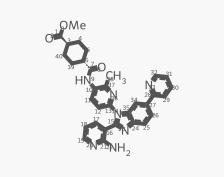 COC(=O)[C@H]1CC[C@H](C(=O)Nc2ccc(-n3c(-c4cccnc4N)nc4ccc(-c5ccccn5)cc43)nc2C)CC1